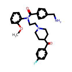 COc1ccccc1N(CCN1CCC(C(=O)c2ccc(F)cc2)CC1)C(=O)c1ccc(CN)cc1